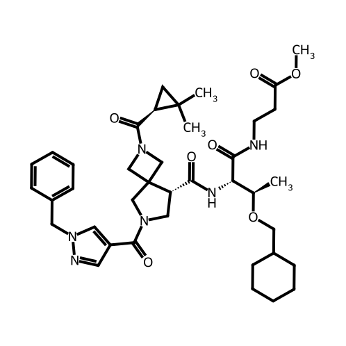 COC(=O)CCNC(=O)[C@@H](NC(=O)[C@@H]1CN(C(=O)c2cnn(Cc3ccccc3)c2)CC12CN(C(=O)[C@H]1CC1(C)C)C2)[C@@H](C)OCC1CCCCC1